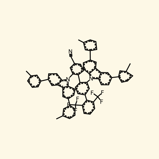 Cc1cccc(-c2ccc3c(c2)c2cc(-c4cccc(C)c4)ccc2n3-c2cc(C#N)ccc2-c2ccc(-c3c(C(F)(F)F)cccc3C(F)(F)F)cc2-n2c3ccc(-c4cccc(C)c4)cc3c3cc(-c4cccc(C)c4)ccc32)c1